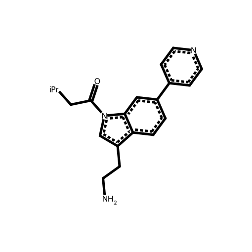 CC(C)CC(=O)n1cc(CCN)c2ccc(-c3ccncc3)cc21